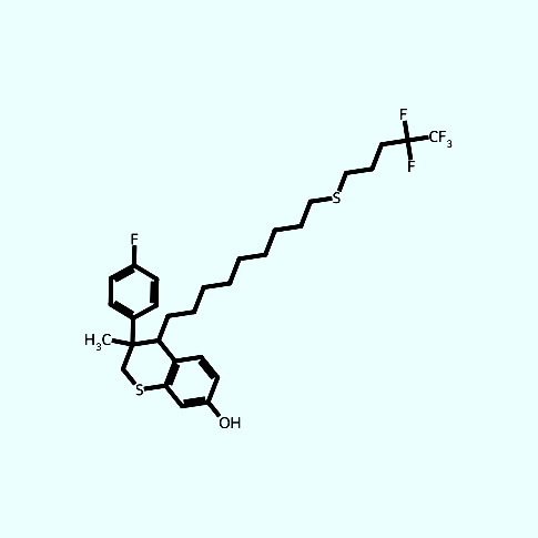 CC1(c2ccc(F)cc2)CSc2cc(O)ccc2C1CCCCCCCCCSCCCC(F)(F)C(F)(F)F